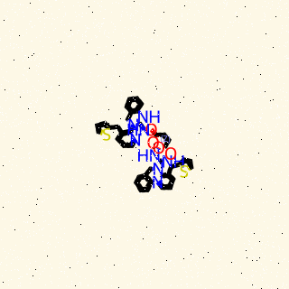 N=C(NOC(=O)/C=C\C(=O)ONC(=N)N(Cc1ccccc1)c1ncccc1Cc1cccs1)N(Cc1ccccc1)c1ncccc1Cc1cccs1